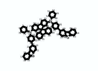 c1ccc(N(c2ccc(-c3ccc4sc5ccccc5c4c3)cc2)c2ccc3c(c2)C2(c4ccccc4-c4ccccc42)c2cc(N(c4ccccc4)c4ccc(-c5ccc6sc7ccccc7c6c5)cc4)ccc2-3)cc1